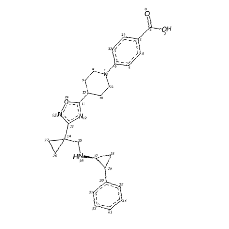 O=C(O)c1ccc(N2CCC(c3nc(C4(CN[C@H]5CC5c5ccccc5)CC4)no3)CC2)cc1